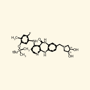 Cc1cc(F)c(Nc2ccnc3c2C(=O)Nc2cc(CN4C[C@@H](O)[C@@H](O)C4)ccc2N3)cc1O[Si](C)(C)C(C)(C)C